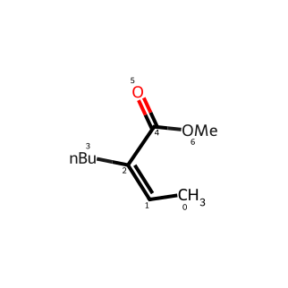 CC=C(CCCC)C(=O)OC